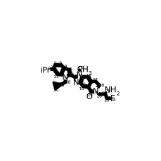 CC(C)c1ccc2cc(-c3nc4cc5c(cc4n3C)CCN(C[C@H](N)CF)C5=O)n(CC3CC3)c2c1